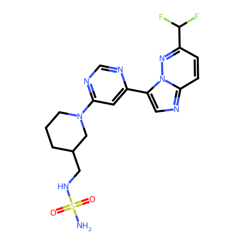 NS(=O)(=O)NCC1CCCN(c2cc(-c3cnc4ccc(C(F)F)nn34)ncn2)C1